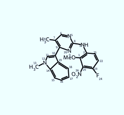 COc1c(Nc2ncc(C)c(-c3cn(C)c4ccccc34)n2)ccc(F)c1[N+](=O)[O-]